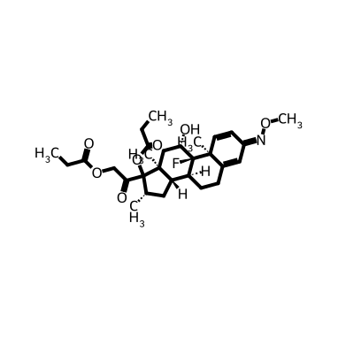 CCC(=O)OCC(=O)C1(OC(=O)CC)[C@@H](C)C[C@H]2[C@@H]3CCC4=C/C(=N/OC)C=C[C@]4(C)[C@@]3(F)[C@@H](O)C[C@@]21C